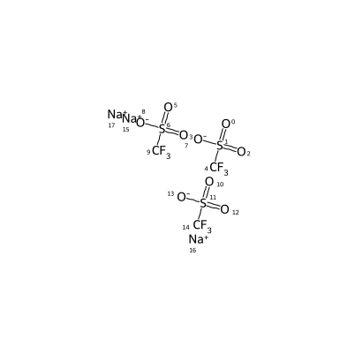 O=S(=O)([O-])C(F)(F)F.O=S(=O)([O-])C(F)(F)F.O=S(=O)([O-])C(F)(F)F.[Na+].[Na+].[Na+]